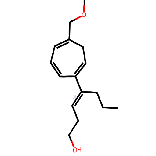 CCC/C(=C\CCO)C1=CCC(COC)=CC=C1